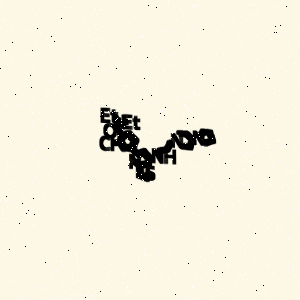 CCN(CC)C(=O)c1ccc(-c2cc(NCCCN3CCC(N4CCCC4)CC3)c3sccc3n2)cc1Cl